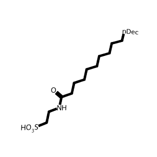 CCCCCCCCCCCCCCCCCCCC(=O)NCCS(=O)(=O)O